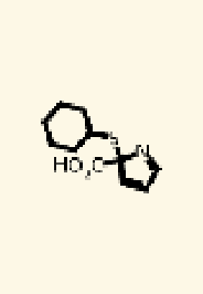 O=C(O)C1(SC2CCCCC2)C=CC=N1